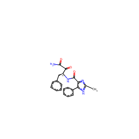 Cc1nc(C(=O)N[C@@H](Cc2ccccc2)C(=O)C(N)=O)c(-c2ccccc2)[nH]1